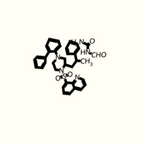 CC(CC1CN(c2ccccc2-c2ccccc2)CCN1S(=O)(=O)c1cccc2cccnc12)c1ccccc1.NC(=O)NC=O